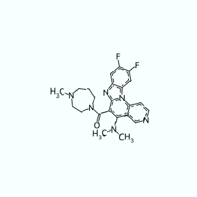 CN1CCCN(C(=O)c2c(N(C)C)c3cnccc3n3c2nc2cc(F)c(F)cc23)CC1